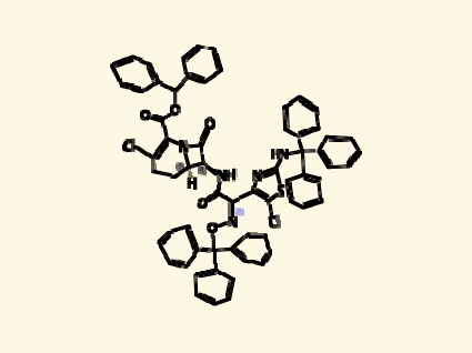 O=C(OC(c1ccccc1)c1ccccc1)C1=C(Cl)CC[C@@H]2[C@H](NC(=O)/C(=N\OC(c3ccccc3)(c3ccccc3)c3ccccc3)c3nc(NC(c4ccccc4)(c4ccccc4)c4ccccc4)sc3Cl)C(=O)N12